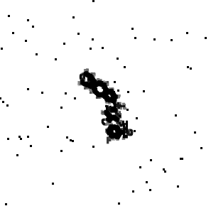 CP(C)(=O)c1cc(F)ccc1Nc1nc(Nc2ccc3c(c2)CC[C@H](N2C4CCC2COC4)CC3)ncc1Cl